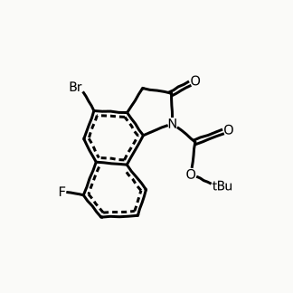 CC(C)(C)OC(=O)N1C(=O)Cc2c(Br)cc3c(F)cccc3c21